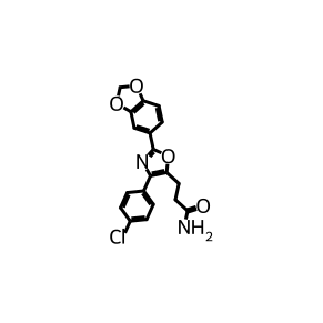 NC(=O)CCc1oc(-c2ccc3c(c2)OCO3)nc1-c1ccc(Cl)cc1